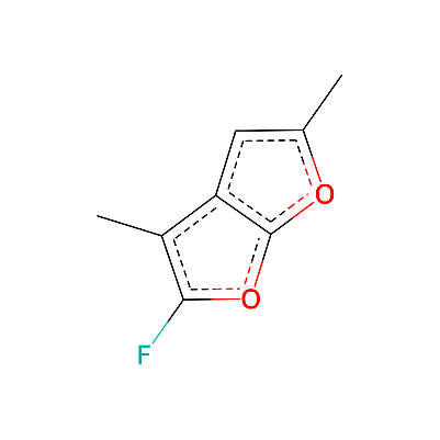 Cc1cc2c(C)c(F)oc2o1